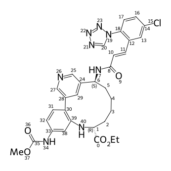 CCOC(=O)[C@H]1CCCC[C@H](NC(=O)C=Cc2cc(Cl)ccc2-n2cnnn2)c2cncc(c2)-c2ccc(NC(=O)OC)cc2N1